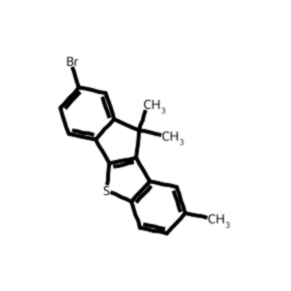 Cc1ccc2sc3c(c2c1)C(C)(C)c1cc(Br)ccc1-3